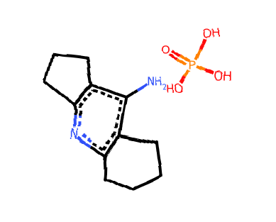 Nc1c2c(nc3c1CCC3)CCCC2.O=P(O)(O)O